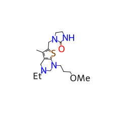 CCN1Cc2c(sc(CN3CCNC3=O)c2C)N(CCCOC)C1